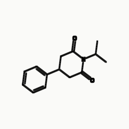 CC(C)N1C(=O)CC(c2ccccc2)CC1=O